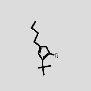 CCCCC1=CC(C(C)(C)C)=[C]([Ti])C1